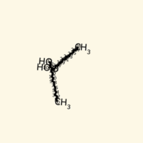 CCCCCCCCCCCCCCC(OCCCCCCCCCCCCC)C(O)CO